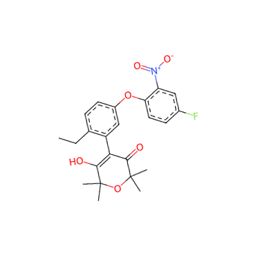 CCc1ccc(Oc2ccc(F)cc2[N+](=O)[O-])cc1C1=C(O)C(C)(C)OC(C)(C)C1=O